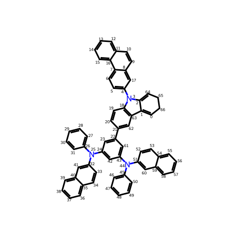 C1=c2c(n(-c3ccc4c(ccc5ccccc54)c3)c3ccc(-c4cc(N(c5ccccc5)c5ccc6ccccc6c5)cc(N(c5ccccc5)c5ccc6ccccc6c5)c4)cc23)=CCC1